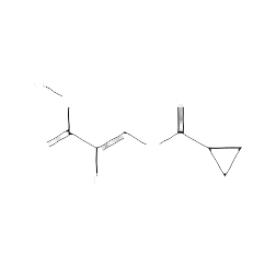 CC(C)(C)OC(=O)C(F)=COC(=O)C1CC1